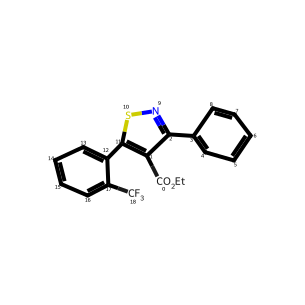 CCOC(=O)c1c(-c2ccccc2)nsc1-c1ccccc1C(F)(F)F